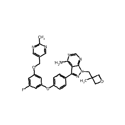 Cc1ncc(COc2cc(F)cc(Oc3ccc(-c4nn(CC5(C)COC5)c5ncnc(N)c45)cc3)c2)cn1